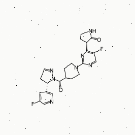 O=C1NCC[C@@H]1c1nc(N2CCC(C(=O)N3N=CC[C@H]3c3cncc(F)c3)CC2)ncc1F